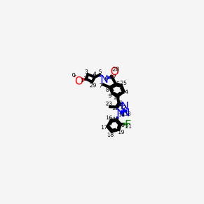 COC1CC(CN2Cc3cc(-c4nnn(-c5ccccc5F)c4C)ccc3C2=O)C1